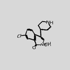 Cl.O=c1[nH]cc(C2CCNCC2)c2ccc(Cl)cc12